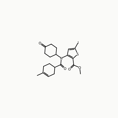 COC(=O)c1sc(I)cc1N(C(=O)C1CC=C(C)CC1)C1CCC(=O)CC1